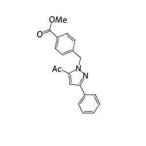 COC(=O)c1ccc(Cn2nc(-c3ccccc3)cc2C(C)=O)cc1